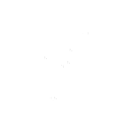 NCc1ccc(-n2nc(N3CCC(O)CC3)c3ccncc32)cc1